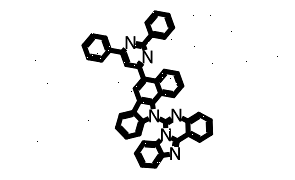 c1ccc(-c2cc(-c3cc4c5ccccc5n(-c5nc6ccccc6c6nc7ccccc7n56)c4c4ccccc34)nc(-c3ccccc3)n2)cc1